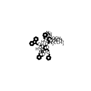 C[C@@H]1C(NC(=O)OCC2c3ccccc3-c3ccccc32)[C@H](OCC2OC(O[Si](C)(C)C(C)(C)C)C(N=[N+]=[N-])[C@@H](O)[C@H]2OCc2ccccc2)OC(COCc2ccccc2)[C@H]1OP1(=O)OCc2ccccc2CO1